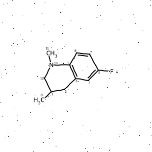 CC1Cc2cc(F)ccc2N(C)C1